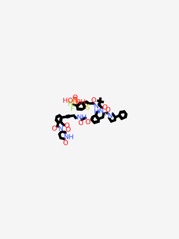 CC(C)(C)[C@H](NC(=O)c1cc2cc(C(F)(F)P(=O)(O)O)ccc2s1)C(=O)N1Cc2cc(OCC(=O)NCCC#Cc3cccc4c3C(=O)N(C3CCC(=O)NC3=O)C4=O)ccc2C[C@H]1C(=O)N1CCCC(c2ccccc2)C1